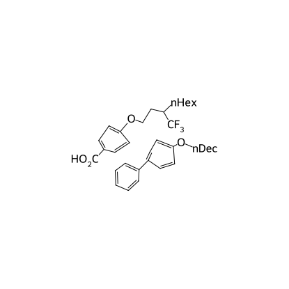 CCCCCCC(CCOc1ccc(C(=O)O)cc1)C(F)(F)F.CCCCCCCCCCOc1ccc(-c2ccccc2)cc1